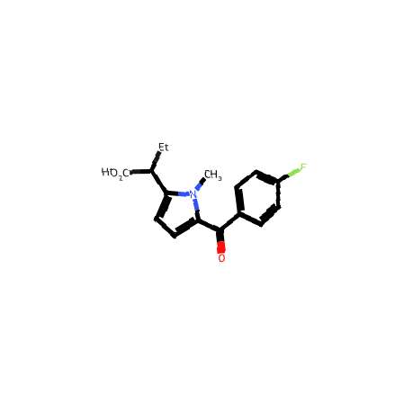 CCC(C(=O)O)c1ccc(C(=O)c2ccc(F)cc2)n1C